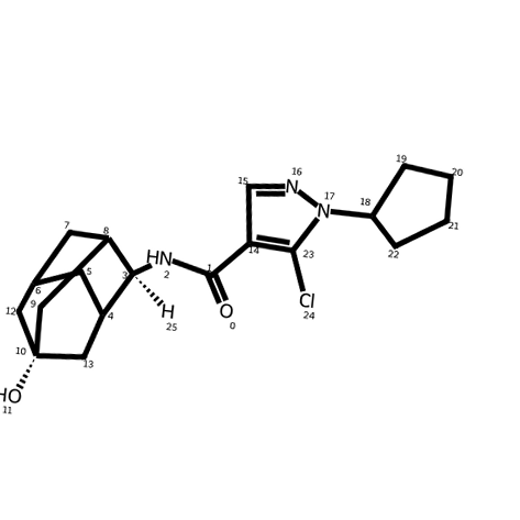 O=C(N[C@H]1C2CC3CC1C[C@](O)(C3)C2)c1cnn(C2CCCC2)c1Cl